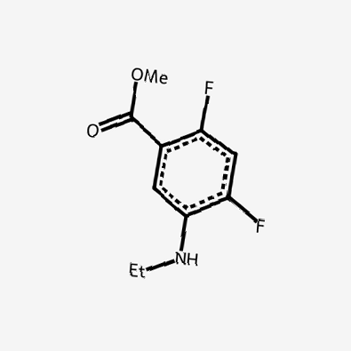 CCNc1cc(C(=O)OC)c(F)cc1F